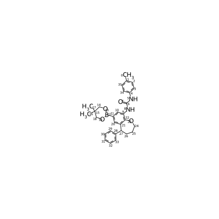 Cc1ccc(NC(=O)Nc2cc(B3OCC(C)(C)CO3)cc3c2OCCCC3c2ccccc2)cc1